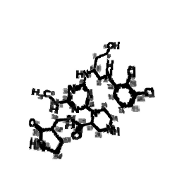 CNc1nc(N[C@@H](CCO)CNc2cccc(Cl)c2Cl)nc(N2CCNCC2C(=O)NCC2CCNC2=O)n1